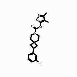 Cc1noc(NC(=O)N2CCC3(CC2)CC(c2cccc(Cl)c2)C3)c1C